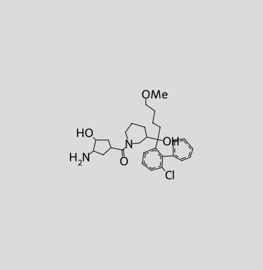 COCCCCC(O)(c1cccc(Cl)c1-c1ccccc1)C1CCCN(C(=O)C2CC(N)C(O)C2)C1